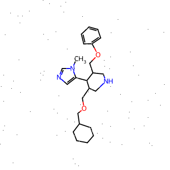 Cn1cncc1C1C(COCC2CCCCC2)CNCC1COc1ccccc1